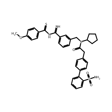 COc1ccc(C(=S)NC(=N)c2cccc(CN(C(=O)Cc3ccc(-c4ccccc4S(N)(=O)=O)cc3)C3CCCC3)c2)cc1